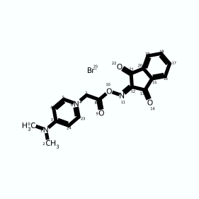 CN(C)c1cc[n+](CC(=O)ON=c2c(=O)c3ccccc3c2=O)cc1.[Br-]